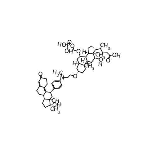 C[C@H](CCC(=O)O)[C@H]1CC[C@H]2[C@@H]3[C@H](OCOP(=O)(O)O)C[C@@H]4C[C@@H](OCCN(C)c5ccc([C@H]6C[C@@]7(C)C(CC[C@]7(C)O)C7CCC8=CC(=O)CCC8=C76)cc5)CC[C@]4(C)[C@H]3C[C@H](O)[C@]12C